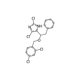 Clc1ccc(COC(Cc2ccccc2)c2[nH]c(Cl)nc2Cl)c(Cl)c1